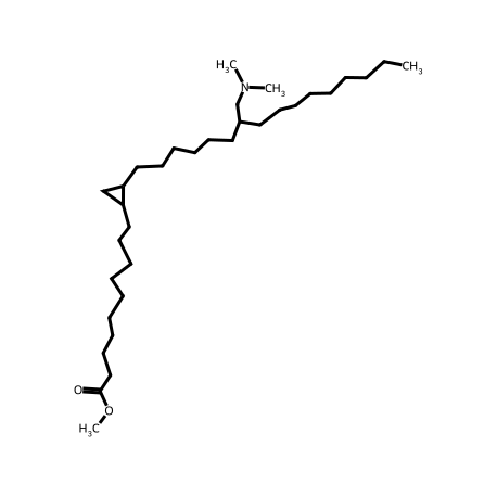 CCCCCCCCCC(CCCCCCC1CC1CCCCCCCCCC(=O)OC)CN(C)C